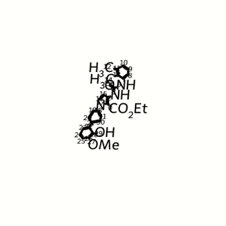 CCOC(=O)c1c(NC(=O)Nc2cccc(C)c2C)ccn1-c1ccc(-c2cccc(OC)c2O)cc1